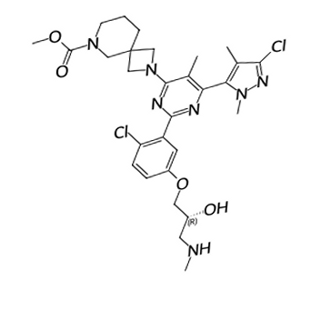 CNC[C@@H](O)COc1ccc(Cl)c(-c2nc(-c3c(C)c(Cl)nn3C)c(C)c(N3CC4(CCCN(C(=O)OC)C4)C3)n2)c1